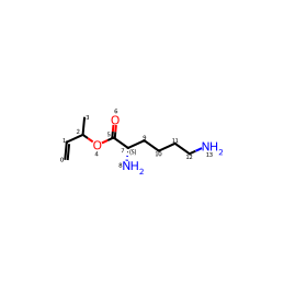 C=CC(C)OC(=O)[C@@H](N)CCCCN